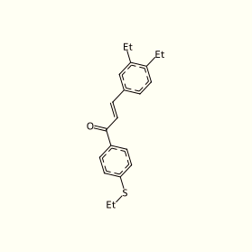 CCSc1ccc(C(=O)/C=C/c2ccc(CC)c(CC)c2)cc1